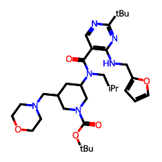 CC(C)CN(C(=O)c1cnc(C(C)(C)C)nc1NCc1ccco1)C1CC(CN2CCOCC2)CN(C(=O)OC(C)(C)C)C1